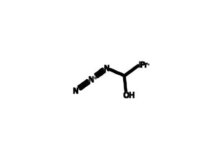 C[C](C)C(O)N=[N+]=[N-]